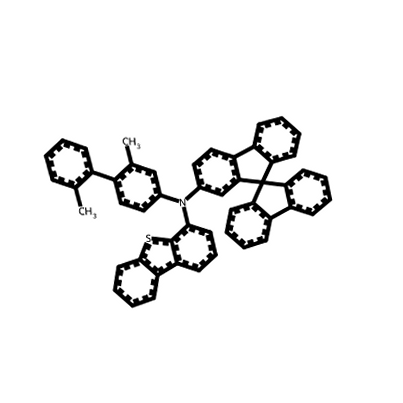 Cc1ccccc1-c1ccc(N(c2ccc3c(c2)C2(c4ccccc4-c4ccccc42)c2ccccc2-3)c2cccc3c2sc2ccccc23)cc1C